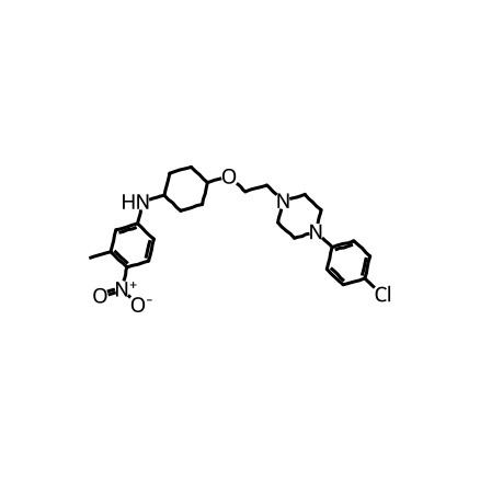 Cc1cc(NC2CCC(OCCN3CCN(c4ccc(Cl)cc4)CC3)CC2)ccc1[N+](=O)[O-]